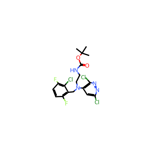 CC(C)(C)OC(=O)NCCN(Cc1c(F)ccc(F)c1Cl)c1cc(Cl)nnc1Cl